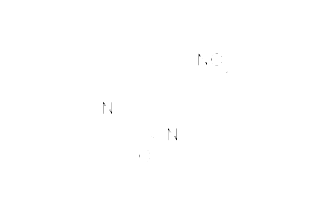 CN(C)CCC(=O)N(Cc1ccccc1)c1ccc([N+](=O)[O-])cc1